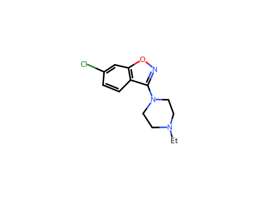 CCN1CCN(c2noc3cc(Cl)ccc23)CC1